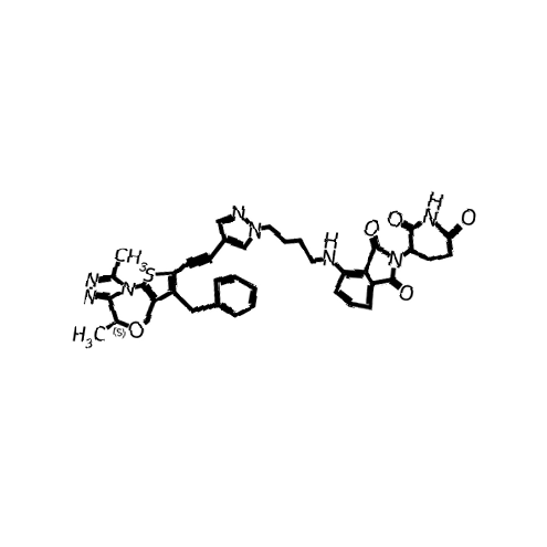 Cc1nnc2n1-c1sc(C#Cc3cnn(CCCCNc4cccc5c4C(=O)N(C4CCC(=O)NC4=O)C5=O)c3)c(Cc3ccccc3)c1CO[C@H]2C